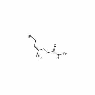 C/C(=C/CC(C)C)CCC(=O)NC(C)C